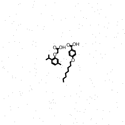 CCCCCCCCOc1ccc(C(=O)O)cc1.Cc1ccc(C(C)C)c(OCC(=O)O)c1